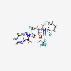 O=C(Nc1c(F)cccc1F)c1cc(F)c(-n2nc3cccnn3c2=O)cc1OCC(F)(F)F